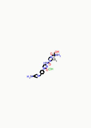 C[C@](N)(CO)C(=O)N1CCN(C(=O)Nc2ccn(-c3ccc(CN4CC5C(N)C5C4)cc3)c(=O)n2)CC1.Cl